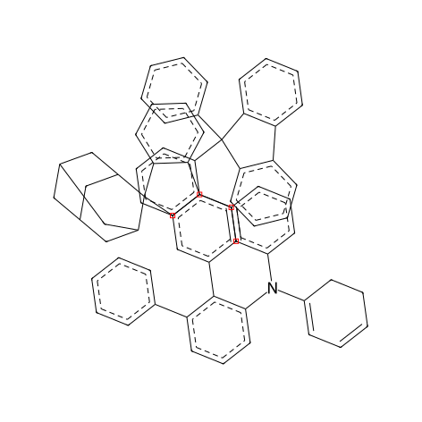 c1c(-c2c(-c3ccccc3)cccc2N(C2=CC=CCC2)c2cccc(-c3ccccc3C3(c4ccccc4)c4ccccc4-c4ccccc43)c2)cc2c(c#1)-c1ccccc1C21C2CC3CC(C2)CC1C3